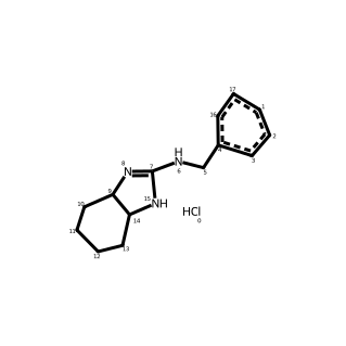 Cl.c1ccc(CNC2=NC3CCCCC3N2)cc1